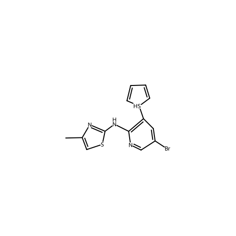 Cc1csc(Nc2ncc(Br)cc2[SH]2C=CC=C2)n1